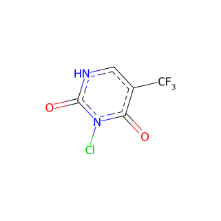 O=c1[nH]cc(C(F)(F)F)c(=O)n1Cl